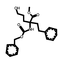 COC(=O)C(CCCO)(CCc1ccccc1)NC(=O)OCc1ccccc1